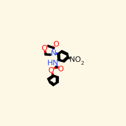 O=C(Nc1cc([N+](=O)[O-])ccc1N1CCOCC1=O)Oc1ccccc1